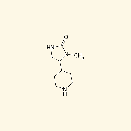 CN1C(=O)NCC1C1CCNCC1